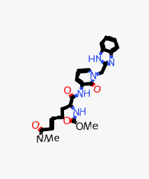 CNC(=O)C=CCCC(NC(=O)OC)C(=O)Nc1cccn(Cc2nc3ccccc3[nH]2)c1=O